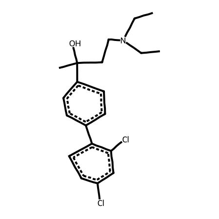 CCN(CC)CCC(C)(O)c1ccc(-c2ccc(Cl)cc2Cl)cc1